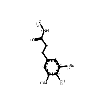 CCCCc1cc(CCC(=O)NN)cc(CCCC)c1O